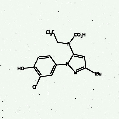 CC(C)(C)c1cc(N(CC(Cl)(Cl)Cl)C(=O)O)n(-c2ccc(O)c(Cl)c2)n1